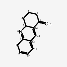 O=C1CCCC2N=C3CC=CC=C3C=C12